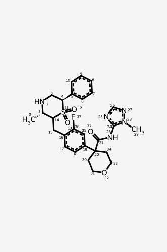 C[C@@H]1NC[C@@H](c2ccccc2)S(=O)(=O)C1Cc1ccc(C2(C(=O)Nc3ncnn3C)CCOCC2)cc1F